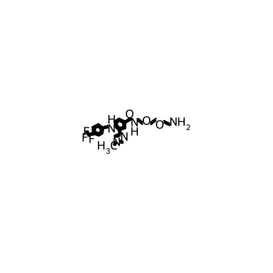 Cn1cnc(-c2cc(C(=O)NCCOCCOCCN)ccc2NCc2ccc(C(F)(F)F)cc2)c1